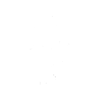 O=C1c2ccccc2C(Br)C12CCC(=NO)CC2